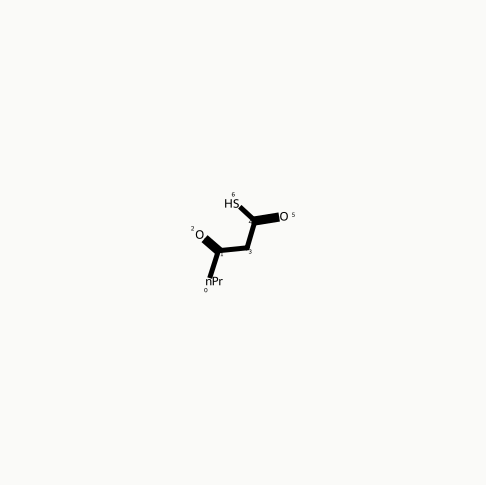 CCCC(=O)CC(=O)S